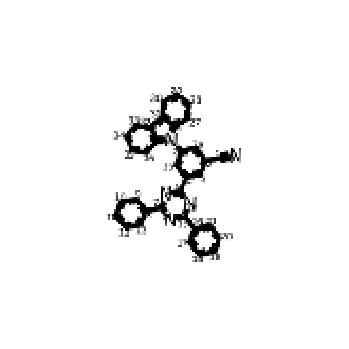 N#Cc1cc(-c2nc(-c3ccccc3)nc(-c3ccccc3)n2)cc(-n2c3ccccc3c3ccccc32)c1